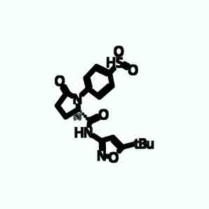 CC(C)(C)c1cc(NC(=O)[C@@H]2CCC(=O)N2c2ccc([SH](=O)=O)cc2)no1